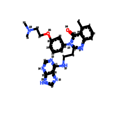 Cc1cccc2nc(CCNc3ncnc4[nH]cnc34)n(-c3cccc(OCCN(C)C)c3)c(=O)c12